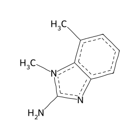 Cc1cccc2nc(N)n(C)c12